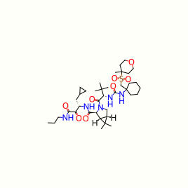 CCCNC(=O)C(=O)[C@H](CC1CC1)NC(=O)[C@@H]1[C@@H]2[C@H](CN1C(=O)[C@@H](NC(=O)NC1(CS(=O)(=O)C3(C)CCOCC3)CCCCC1)C(C)(C)C)C2(C)C